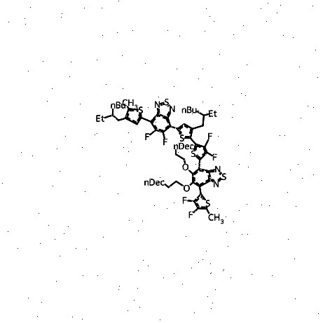 CCCCCCCCCCCCOc1c(OCCCCCCCCCCCC)c(-c2sc(-c3sc(-c4c(F)c(F)c(-c5cc(CC(CC)CCCC)c(C)s5)c5nsnc45)cc3CC(CC)CCCC)c(F)c2F)c2nsnc2c1-c1sc(C)c(F)c1F